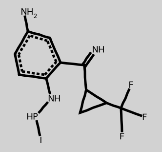 N=C(c1cc(N)ccc1NPI)C1CC1C(F)(F)F